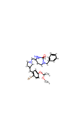 COC(C)Oc1ccc(Br)c(CC2CCN(CC3CCN(Cc4ccccc4)C(=O)N3)C2)c1